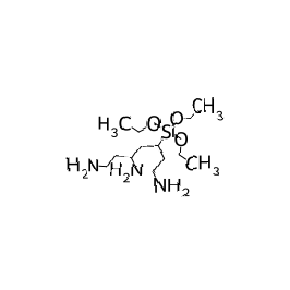 CCO[Si](OCC)(OCC)C(CCN)CC(N)CCN